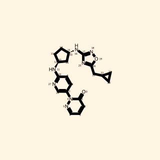 O=c1cccnn1-c1ccc(N[C@H]2CC[C@H](Nc3noc(CC4CC4)n3)C2)nc1